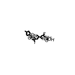 Cc1ccc(S(=O)(=O)n2cc(I)c3cc(-c4cnc(NC(=O)O)c(F)c4)cnc32)cc1